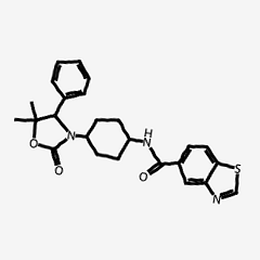 CC1(C)OC(=O)N(C2CCC(NC(=O)c3ccc4scnc4c3)CC2)C1c1ccccc1